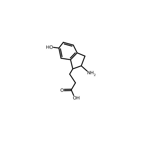 NC1Cc2ccc(O)cc2C1CCC(=O)O